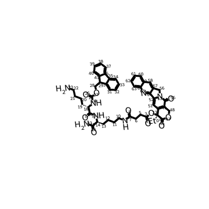 CC[C@@]1(OC(=O)CCC(=O)NCCCC[C@H](NC(=O)[C@H](CCCCN)NC(=O)OCC2c3ccccc3-c3ccccc32)C(N)=O)C(=O)OCc2c1cc1n(c2=O)Cc2cc3ccccc3nc2-1